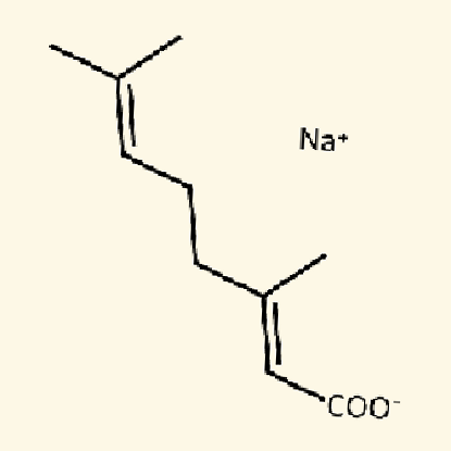 CC(C)=CCC/C(C)=C/C(=O)[O-].[Na+]